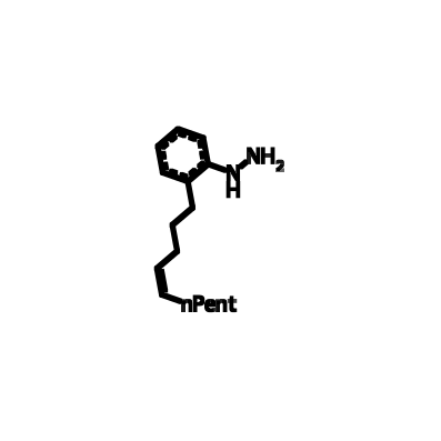 CCCCC/C=C\CCCc1ccccc1NN